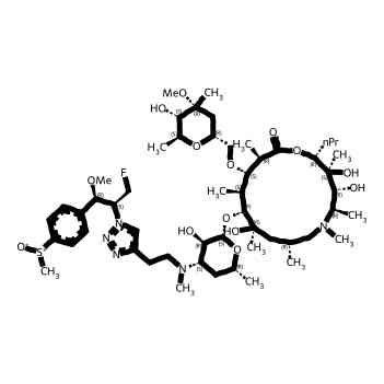 CCC[C@H]1OC(=O)[C@H](C)[C@@H](OC[C@H]2C[C@@](C)(OC)[C@@H](O)[C@H](C)O2)[C@H](C)[C@@H](O[C@@H]2O[C@H](C)C[C@H](N(C)CCc3cn([C@H](CF)[C@H](OC)c4ccc([S+](C)[O-])cc4)nn3)[C@H]2O)[C@](C)(O)C[C@@H](C)CN(C)[C@H](C)[C@@H](O)[C@]1(C)O